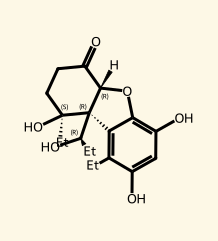 CCc1c(O)cc(O)c2c1[C@@]1([C@H](O)CC)[C@@H](O2)C(=O)CC[C@@]1(O)CC